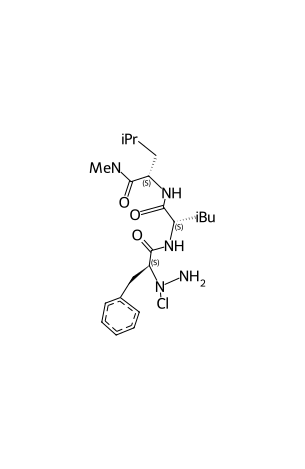 CCC(C)[C@H](NC(=O)[C@H](Cc1ccccc1)N(N)Cl)C(=O)N[C@@H](CC(C)C)C(=O)NC